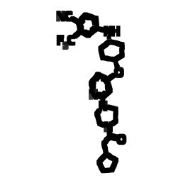 N#Cc1ccc(N[C@H]2CC[C@H](Oc3ccnc(N4CCN(C(=O)CC5CCCC5)CC4)c3)CC2)cc1C(F)(F)F